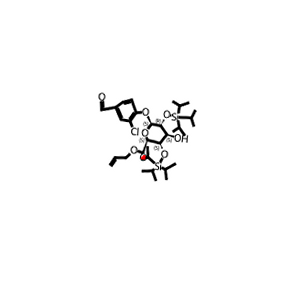 C=CCOC(=O)[C@H]1O[C@@H](Oc2ccc(C=O)cc2Cl)[C@H](O[Si](C(C)C)(C(C)C)C(C)C)[C@@H](O)[C@@H]1O[Si](C(C)C)(C(C)C)C(C)C